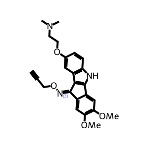 C#CCO/N=C1/c2cc(OC)c(OC)cc2-c2[nH]c3ccc(OCCN(C)C)cc3c21